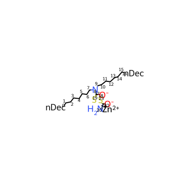 CCCCCCCCCCCCCCCCCN(CCCCCCCCCCCCCCCCC)C([O-])=S.NC([O-])=S.[Zn+2]